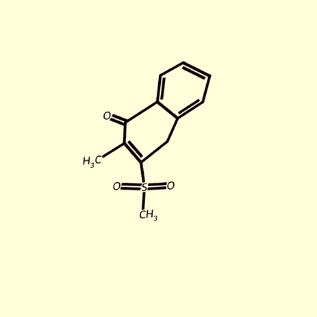 CC1=C(S(C)(=O)=O)Cc2ccccc2C1=O